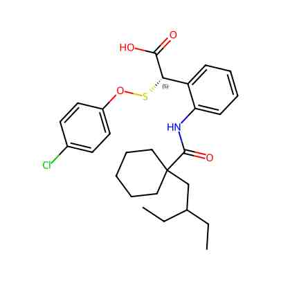 CCC(CC)CC1(C(=O)Nc2ccccc2[C@H](SOc2ccc(Cl)cc2)C(=O)O)CCCCC1